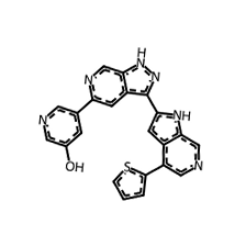 Oc1cncc(-c2cc3c(-c4cc5c(-c6cccs6)cncc5[nH]4)n[nH]c3cn2)c1